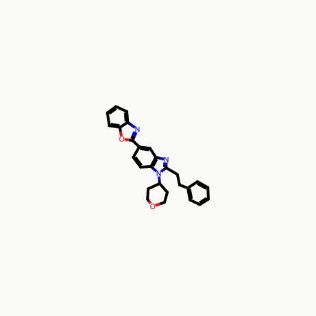 c1ccc(CCc2nc3cc(-c4nc5ccccc5o4)ccc3n2C2CCOCC2)cc1